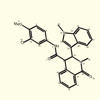 COc1ccc(NC(=O)C2c3ccccc3C(=O)N(C)C2c2cn(C)c3ccccc23)cc1Cl